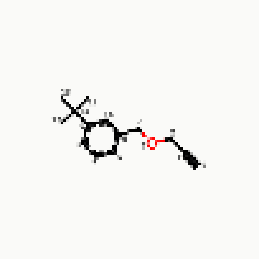 C#CCOCc1cccc(C(C)(C)C)c1